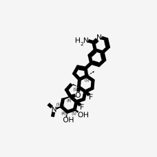 CN(C)[C@H]1C[C@@]23CC[C@]4(O2)C2CC=C(c5ccc6ccnc(N)c6c5)[C@@]2(C)CCC4(F)CC3(F)[C@@H](O)[C@@H]1O